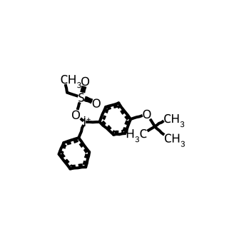 CCS(=O)(=O)O[I+](c1ccccc1)c1ccc(OC(C)(C)C)cc1